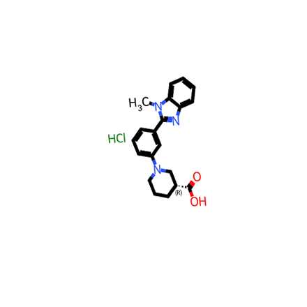 Cl.Cn1c(-c2cccc(N3CCC[C@@H](C(=O)O)C3)c2)nc2ccccc21